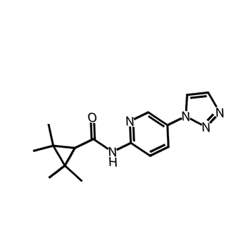 CC1(C)C(C(=O)Nc2ccc(-n3ccnn3)cn2)C1(C)C